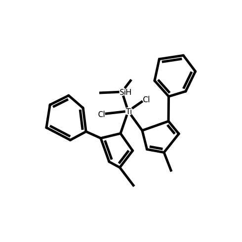 CC1=C[CH]([Ti]([Cl])([Cl])([CH]2C=C(C)C=C2c2ccccc2)[SiH](C)C)C(c2ccccc2)=C1